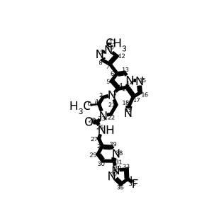 C[C@H]1CN(c2cc(-c3cnn(C)c3)cn3ncc(C#N)c23)CCN1C(=O)NCc1ccc(-n2cc(F)cn2)nc1